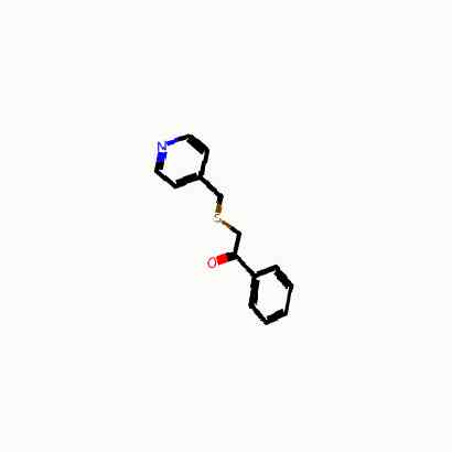 O=C(CSCc1ccncc1)c1ccccc1